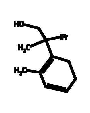 CC1=C(C(C)(CO)C(C)C)CCC=C1